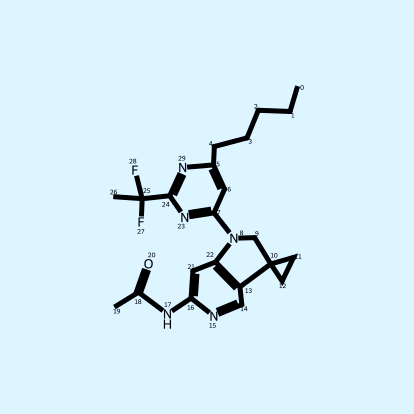 CCCCCc1cc(N2CC3(CC3)c3cnc(NC(C)=O)cc32)nc(C(C)(F)F)n1